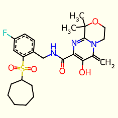 C=C1C(O)=C(C(=O)NCc2ccc(F)cc2S(=O)(=O)C2CCCCCC2)N=C2N1CCOC2(C)C